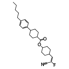 CCCCCc1ccc(C2CCC(C(=O)OC3CCC(/C=C(/F)C#N)CC3)CC2)cc1